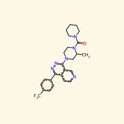 CC1CN(c2nnc(-c3ccc(C(F)(F)F)cc3)c3ccncc23)CCN1C(=O)N1CCCCC1